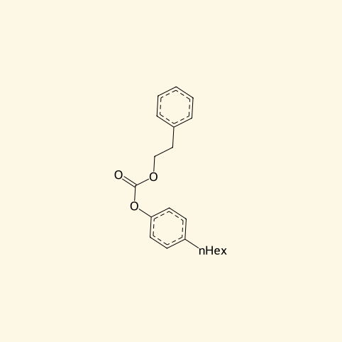 CCCCCCc1ccc(OC(=O)OCCc2ccccc2)cc1